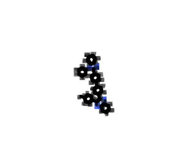 Cc1ccc(-c2nc3ccccc3nc2-c2ccc(-c3ccc(-c4nc5ccccc5n4-c4ccccc4)cc3)cc2)cc1